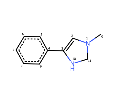 CN1C=C(c2ccccc2)NC1